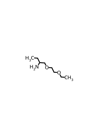 CCOCCOCC(N)CC